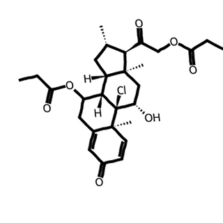 CCC(=O)OCC(=O)[C@@H]1[C@@H](C)C[C@H]2[C@H]3C(OC(=O)CC)CC4=CC(=O)C=C[C@]4(C)[C@@]3(Cl)[C@@H](O)C[C@]12C